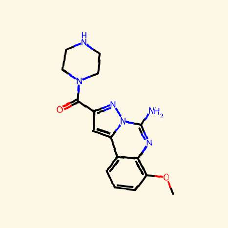 COc1cccc2c1nc(N)n1nc(C(=O)N3CCNCC3)cc21